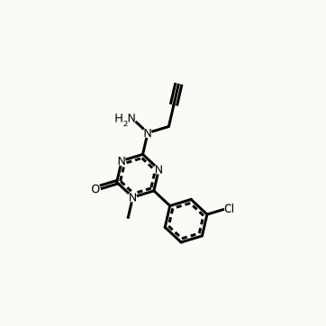 C#CCN(N)c1nc(-c2cccc(Cl)c2)n(C)c(=O)n1